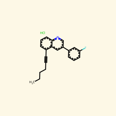 CCCCC#Cc1cccc2ncc(-c3cccc(F)c3)cc12.Cl